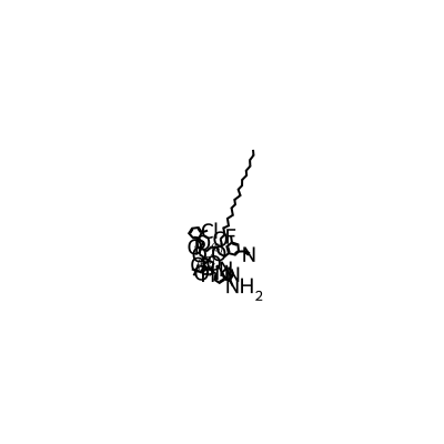 CCCCCCCCCCCCCCCCCCOC[C@H](CCP(=O)(Oc1ccccc1Cl)OC1[C@@]2(C)O[C@@H](c3ccc4c(N)ncnn34)[C@@H]3OC(C)(C)O[C@@]132)OCc1cc(F)cc(C#N)c1